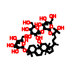 C[C@H](CC[C@@H](O[C@@H]1O[C@H](CO)[C@@H](O)[C@H](O)[C@H]1O[C@@H]1O[C@H](CO)[C@@H](O)[C@H](O)[C@H]1O)C(C)(C)O)C1CC[C@@]2(C)C3CC=C4C(CC[C@H](O[C@@H]5O[C@H](CO)[C@@H](O)[C@H](O)[C@H]5O)C4(C)C)[C@]3(C)C(=O)C[C@]12C